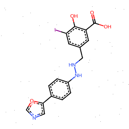 O=C(O)c1cc(CNNc2ccc(-c3cnco3)cc2)cc(I)c1O